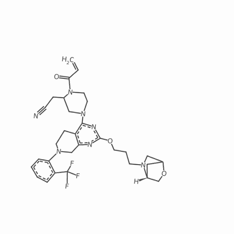 C=CC(=O)N1CCN(c2nc(OCCCN3CC4C[C@@H]3CO4)nc3c2CCN(c2ccccc2C(F)(F)F)C3)CC1CC#N